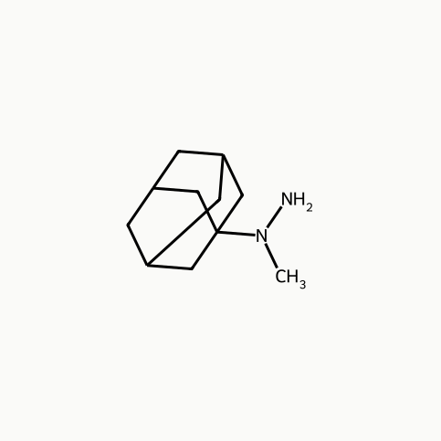 CN(N)C12CC3CC(CC(C3)C1)C2